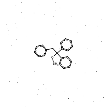 [SiH3]OC(Cc1ccccc1)(c1ccccc1)c1ccccc1